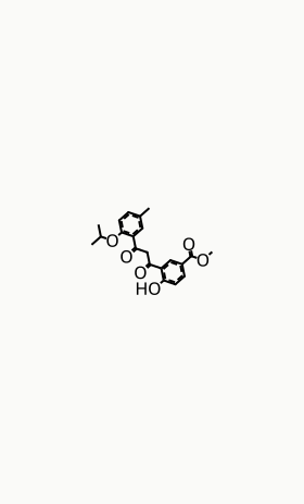 COC(=O)c1ccc(O)c(C(=O)CC(=O)c2cc(C)ccc2OC(C)C)c1